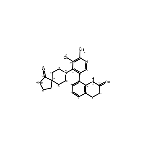 Nc1ncc(-c2cccc3c2NC(=O)CC3)c(N2CCC3(CCNC3=O)CC2)c1Cl